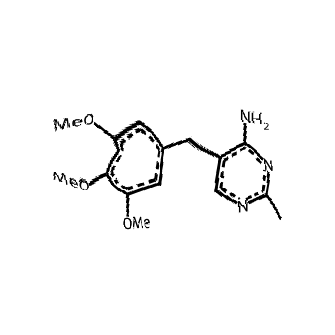 COc1cc(Cc2cnc(C)nc2N)cc(OC)c1OC